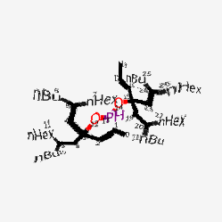 C/C=C/C(CC(CCCC)CCCCCC)(CC(CCCC)CCCCCC)OPOC(/C=C/C)(CC(CCCC)CCCCCC)CC(CCCC)CCCCCC